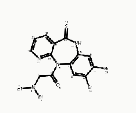 CCN(CC)CC(=O)N1c2cc(Br)c(Br)cc2NC(=S)c2cccnc21